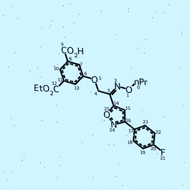 CCCON=C(COc1cc(C(=O)O)cc(C(=O)OCC)c1)c1cc(-c2ccc(F)cc2)no1